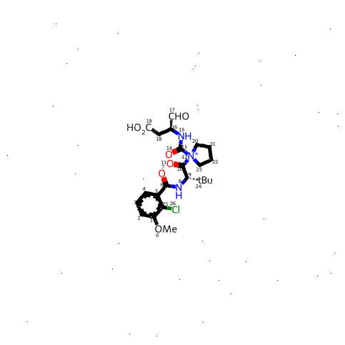 COc1cccc(C(=O)N[C@H](C(=O)[N+]2(C(=O)N[C@H](C=O)CC(=O)O)CCCC2)C(C)(C)C)c1Cl